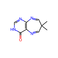 CC1(C)C=Nc2nc[nH]c(=O)c2N=C1